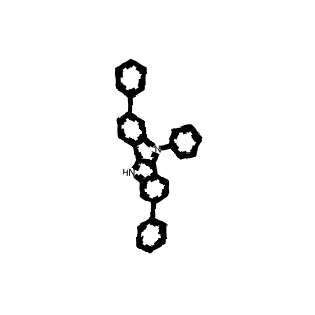 c1ccc(-c2ccc3c(c2)[nH]c2c4ccc(-c5ccccc5)cc4n(-c4ccccc4)c32)cc1